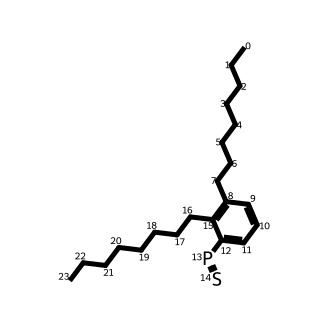 CCCCCCCCc1cccc(P=S)c1CCCCCCCC